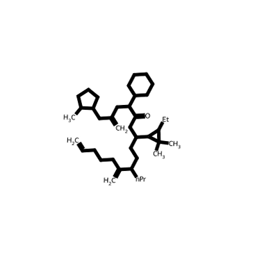 C=CCCCC(=C)C(CCC)CCC(CC(=O)C(CC(=C)CC1CCCC1C)C1CCCCC1)C1C(CC)C1(C)C